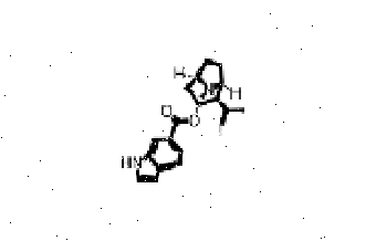 C[C@@H](I)C1[C@H](OC(=O)c2ccc3cc[nH]c3c2)C[C@H]2CC[C@@H]1N2C